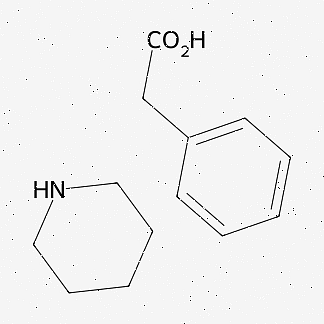 C1CCNCC1.O=C(O)Cc1ccccc1